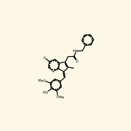 COc1cc(/C=C2/C(C)=C(CC(=O)NCc3ccccc3)c3cc(F)cnc32)cc(OC)c1O